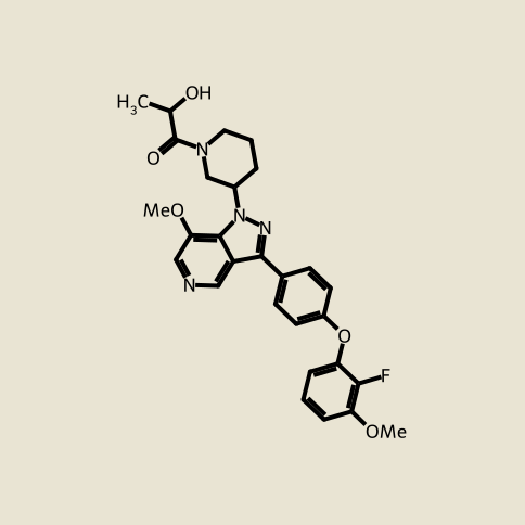 COc1cccc(Oc2ccc(-c3nn(C4CCCN(C(=O)C(C)O)C4)c4c(OC)cncc34)cc2)c1F